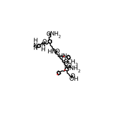 CCOC(CCCC(CCCC(=O)NCCCCc1ccc(CCC(N)=O)cc1CC(=O)NCc1ccc2nc[nH]c2c1)CC(=O)Nc1ccccc1)CCN1CC(CCc2ccccc2)C(CCCC(=O)O)CC1C(N)=O